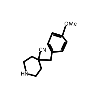 COc1ccc(CC2(C#N)CCNCC2)cc1